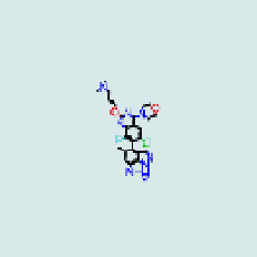 Cc1cc(N)c2[nH]ncc2c1-c1c(Cl)cc2c(N3CCOCC3)nc(OCCCN(C)C)nc2c1F